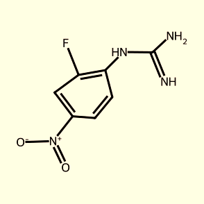 N=C(N)Nc1ccc([N+](=O)[O-])cc1F